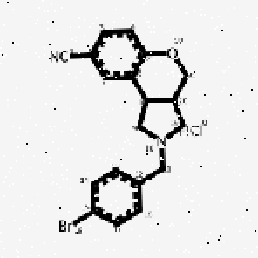 Cl.N#Cc1ccc2c(c1)C1CN(Cc3ccc(Br)cc3)CC1CO2